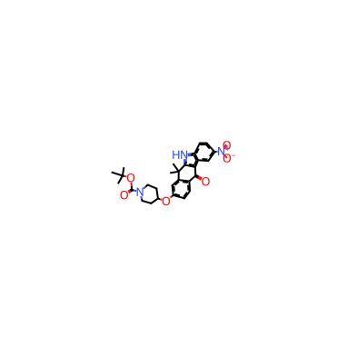 CC(C)(C)OC(=O)N1CCC(Oc2ccc3c(c2)C(C)(C)c2[nH]c4ccc([N+](=O)[O-])cc4c2C3=O)CC1